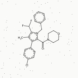 Cc1c(-c2ccc(Cl)cc2)c(C(=O)N2CCOCC2)n(Cc2ccccc2)c1C(F)F